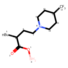 BOC(=O)C(CCCC)CCN1CCC(C(F)(F)F)CC1